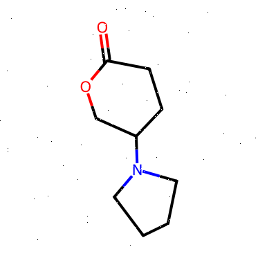 O=C1CCC(N2CCCC2)CO1